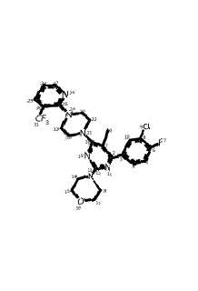 Cc1c(-c2ccc(F)c(Cl)c2)nc(N2CCOCC2)nc1N1CCN(c2ncccc2C(F)(F)F)CC1